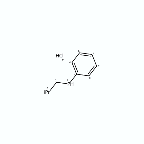 CC(C)CPc1ccccc1.Cl